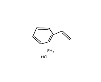 C=Cc1ccccc1.Cl.P